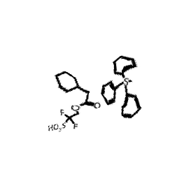 CS(c1ccccc1)(c1ccccc1)c1ccccc1.O=C(CC1CCCCC1)OCC(F)(F)S(=O)(=O)O